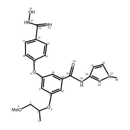 COCC(C)Oc1cc(Oc2ccc(C(=N)NO)cc2)cc(C(=O)Nc2ccn(C)n2)c1